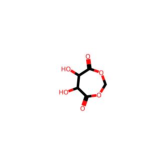 O=C1OCOC(=O)C(O)C1O